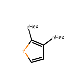 CCCCCCC1=C(CCCCCC)[P]C=C1